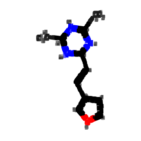 ClC(Cl)(Cl)c1nc(C=Cc2ccoc2)nc(C(Cl)(Cl)Cl)n1